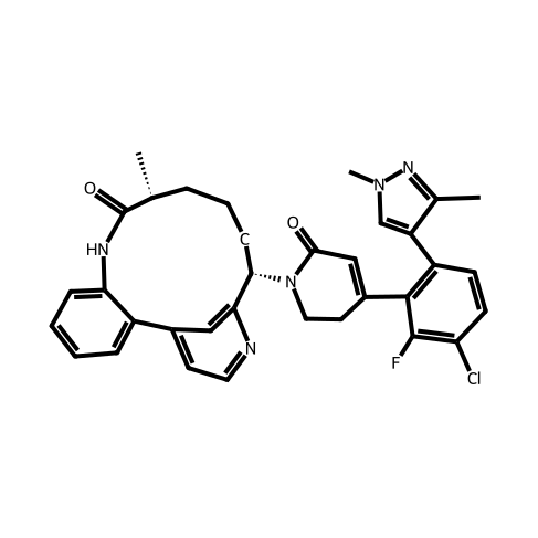 Cc1nn(C)cc1-c1ccc(Cl)c(F)c1C1=CC(=O)N([C@H]2CCC[C@@H](C)C(=O)Nc3ccccc3-c3ccnc2c3)CC1